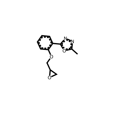 Cc1nnc(-c2ccccc2OCC2CO2)o1